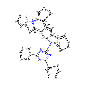 c1ccc(-c2nc(-c3ccccc3)nc(-n3c4ccccc4c4cc5c6ccccc6n6c7ccccc7cc6c5cc43)n2)cc1